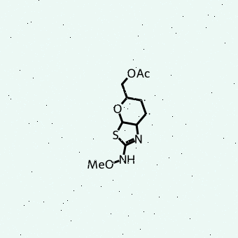 CONC1=NC2[CH][CH]C(COC(C)=O)OC2S1